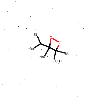 CCC(C(C)(C)C)C1(C(C)(C)C)OOC1(CC)C(=O)O